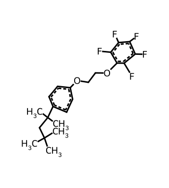 CC(C)(C)CC(C)(C)c1ccc(OCCOc2c(F)c(F)c(F)c(F)c2F)cc1